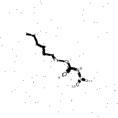 CCCCCCOOC(=O)N=S(=O)=O